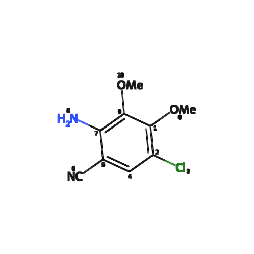 COc1c(Cl)cc(C#N)c(N)c1OC